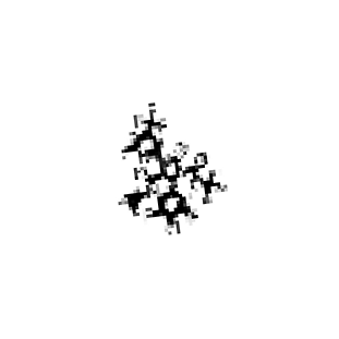 Cc1cc(C(F)(F)F)cc(N2C(=O)N(C(=O)OC(C)(C)C)CC2C(=O)N(c2ccc(F)c(Cl)c2F)C2CC2)n1